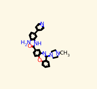 CN1CCN(C2=Nc3cc(C(=O)Nc4cc(-c5ccncc5)ccc4N)ccc3Oc3ccccc32)CC1